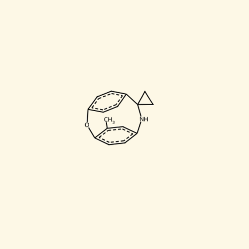 Cc1cc2ccc1Oc1ccc(cc1)C1(CC1)N2